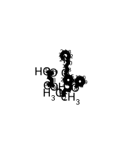 CN(C)CCC(Oc1ccccc1)c1ccc(OCCCN2CCCCC2)cc1.O=C(O)C=CC(=O)O